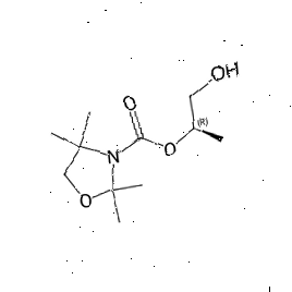 C[C@H](CO)OC(=O)N1C(C)(C)COC1(C)C